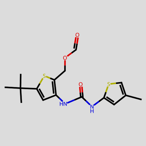 Cc1csc(NC(=O)Nc2cc(C(C)(C)C)sc2COC=O)c1